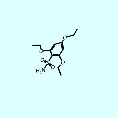 CCOc1cc(OCC)c(S(N)(=O)=O)c(OCC)c1